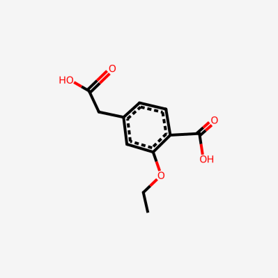 CCOc1cc(CC(=O)O)ccc1C(=O)O